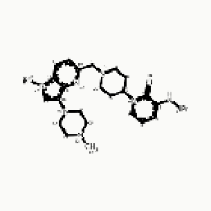 CC(C)Nc1cccn(C2CCN(Cc3ccc4c(n3)c(N3CCN(C)CC3)cn4C(C)C)CC2)c1=O